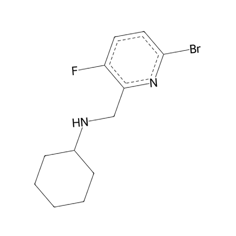 Fc1ccc(Br)nc1CNC1CCCCC1